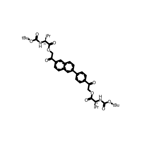 CC(C)[C@H](NC(=O)OC(C)(C)C)C(=O)OCC(=O)c1ccc(-c2ccc3cc(C(=O)COC(=O)[C@@H](NC(=O)OC(C)(C)C)C(C)C)ccc3c2)cc1